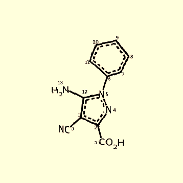 N#Cc1c(C(=O)O)nn(-c2ccccc2)c1N